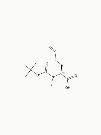 C=CCC[C@@H](C(=O)O)N(C)C(=O)OC(C)(C)C